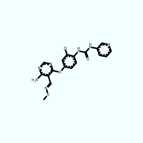 CON=Cc1c(N)ncnc1Oc1ccc(NC(=O)Nc2cccnc2)c(Cl)c1